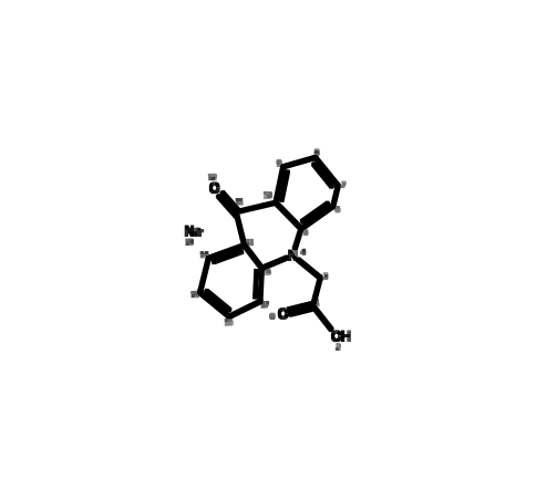 O=C(O)Cn1c2ccccc2c(=O)c2ccccc21.[Na]